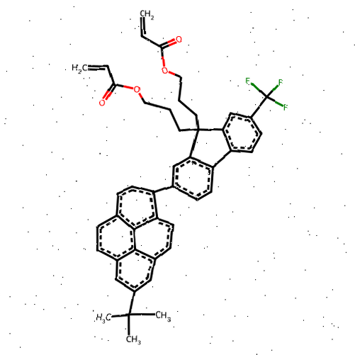 C=CC(=O)OCCCC1(CCCOC(=O)C=C)c2cc(-c3ccc4ccc5cc(C(C)(C)C)cc6ccc3c4c56)ccc2-c2ccc(C(F)(F)F)cc21